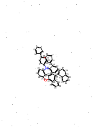 c1ccc(-c2ccc(N(c3ccccc3-c3ccccc3)c3cccc4oc5c6ccccc6c(-c6cccc7ccccc67)cc5c34)cc2)cc1